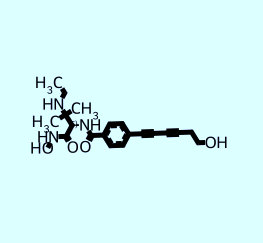 CCNC(C)(C)[C@H](NC(=O)c1ccc(C#CC#CCCO)cc1)C(=O)NO